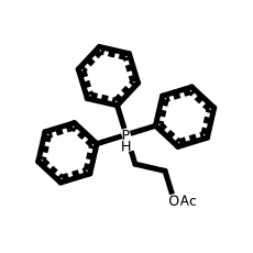 CC(=O)OCC[PH](c1ccccc1)(c1ccccc1)c1ccccc1